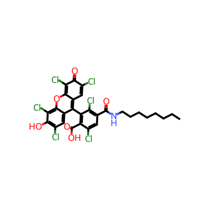 CCCCCCCCNC(=O)c1cc(Cl)c(C(=O)O)c(-c2c3cc(Cl)c(=O)c(Cl)c-3oc3c(Cl)c(O)c(Cl)cc23)c1Cl